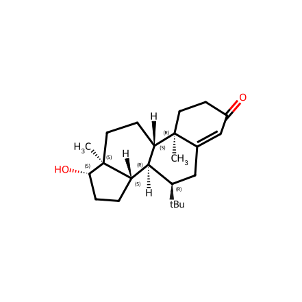 CC(C)(C)[C@@H]1CC2=CC(=O)CC[C@]2(C)[C@H]2CC[C@]3(C)[C@@H](O)CC[C@H]3[C@H]12